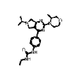 CCNC(=O)Nc1ccc(-c2nc(N3CCOCC3C)nc3c2CN(C(C)C)C3)cc1